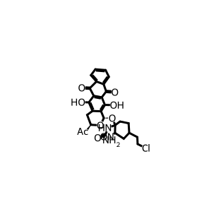 CC(=O)[C@H]1Cc2c(O)c3c(c(O)c2[C@H](OC2(NC(N)=O)CCC(CCCl)CC2N=O)O1)C(=O)c1ccccc1C3=O